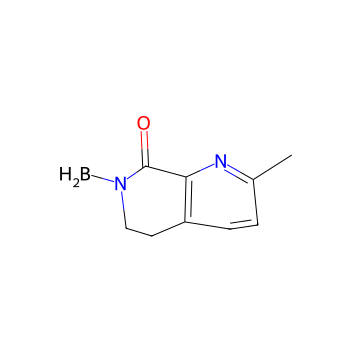 BN1CCc2ccc(C)nc2C1=O